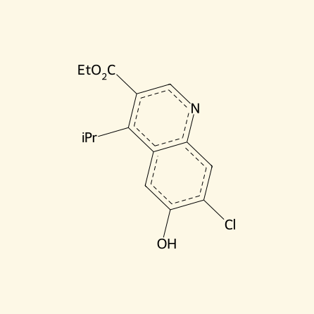 CCOC(=O)c1cnc2cc(Cl)c(O)cc2c1C(C)C